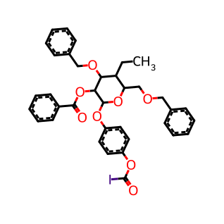 CCC1C(COCc2ccccc2)OC(Oc2ccc(OC(=O)I)cc2)C(OC(=O)c2ccccc2)C1OCc1ccccc1